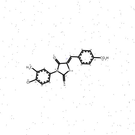 Cc1cc(N2C(=O)/C(=C/c3ccc(C(=O)O)cc3)SC2=S)ccc1Cl